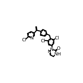 C=C(c1ccc(Cc2c(Cl)cc(N3N=CCNC3=O)cc2Cl)cc1)c1ccc(Cl)nc1